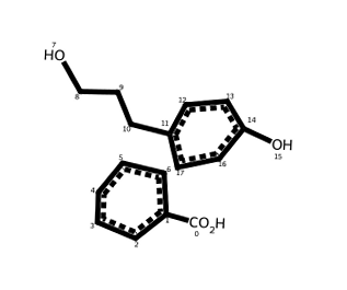 O=C(O)c1ccccc1.OCCCc1ccc(O)cc1